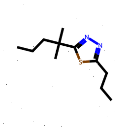 CCCc1nnc(C(C)(C)CCC)s1